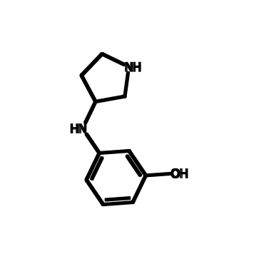 Oc1cccc(NC2CCNC2)c1